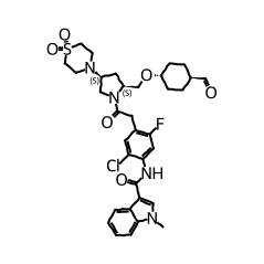 Cn1cc(C(=O)Nc2cc(F)c(CC(=O)N3C[C@@H](N4CCS(=O)(=O)CC4)C[C@H]3CO[C@H]3CC[C@H](C=O)CC3)cc2Cl)c2ccccc21